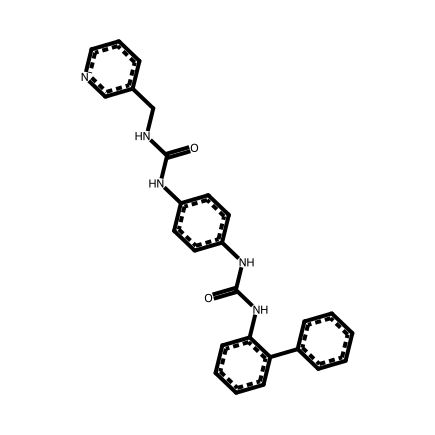 O=C(NCc1cccnc1)Nc1ccc(NC(=O)Nc2ccccc2-c2ccccc2)cc1